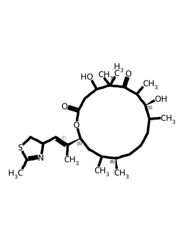 CC1=NC(/C=C(\C)[C@@H]2CC(C)[C@H](C)CCCC(C)[C@H](O)C(C)C(=O)C(C)(C)C(O)CC(=O)O2)CS1